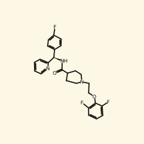 O=C(N[C@H](c1ccc(F)cc1)c1ccccn1)C1CCN(CCOc2c(F)cccc2F)CC1